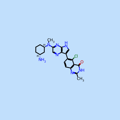 Cc1nc2ccc(-c3c[nH]c4nc(N(C)[C@@H]5CCC[C@@H](N)C5)cnc34)c(Cl)c2c(=O)[nH]1